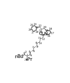 CCCCC(C)C(CCCCCCCCCC(=O)n1cccc1CCCc1ccccc1)C(C)C